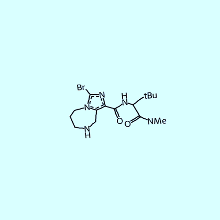 CNC(=O)C(NC(=O)c1nc(Br)n2c1CNCCC2)C(C)(C)C